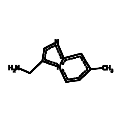 Cc1ccn2c(CN)cnc2c1